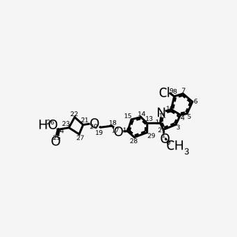 COc1cc2cccc(Cl)c2nc1-c1ccc(OCCOC2CC(C(=O)O)C2)cc1